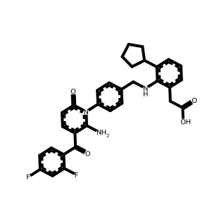 Nc1c(C(=O)c2ccc(F)cc2F)ccc(=O)n1-c1ccc(CNc2c(CC(=O)O)cccc2C2CCCC2)cc1